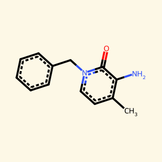 Cc1ccn(Cc2ccccc2)c(=O)c1N